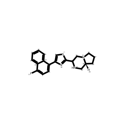 Fc1ccc(-c2csc(C3CN4CCC[C@@H]4CN3)n2)c2ccccc12